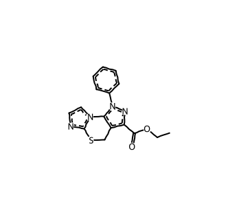 CCOC(=O)c1nn(-c2ccccc2)c2c1CSc1nccn1-2